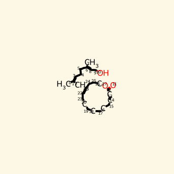 CC(C)=CCCC(C)=CCO.O=C1CCCCCCCCCC=CCCCO1